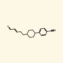 N#Cc1ccc(C2CCC(CC/C=C/C=O)CC2)cc1